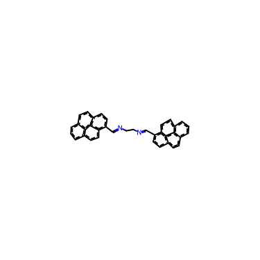 C(=NCCN=Cc1ccc2ccc3cccc4ccc1c2c34)c1ccc2ccc3cccc4ccc1c2c34